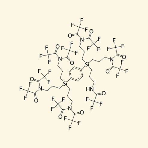 O=C(NCCC[Si](CCCN(C(=O)C(F)(F)F)C(=O)C(F)(F)F)(CCCN(C(=O)C(F)(F)F)C(=O)C(F)(F)F)c1ccc([Si](CCCN(C(=O)C(F)(F)F)C(=O)C(F)(F)F)(CCCN(C(=O)C(F)(F)F)C(=O)C(F)(F)F)CCCN(C(=O)C(F)(F)F)C(=O)C(F)(F)F)cc1)C(F)(F)F